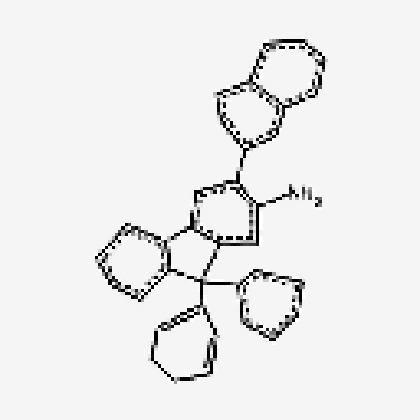 Nc1cc2c(cc1-c1ccc3ccccc3c1)-c1ccccc1C2(C1=CCCC=C1)c1ccccc1